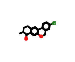 CC1CCc2cc3c(cc2C1=O)OCc1cc(Cl)ccc1-3